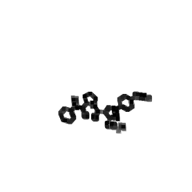 COc1ccc(-n2cc(C(=O)N3CCCC3C(=O)Nc3ccccc3)c(C(=O)O)n2)cc1